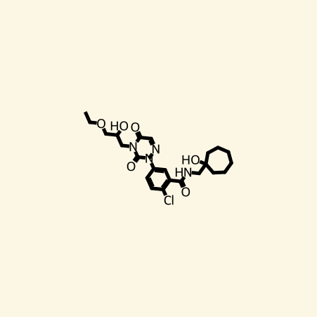 CCOCC(O)Cn1c(=O)cnn(-c2ccc(Cl)c(C(=O)NCC3(O)CCCCCC3)c2)c1=O